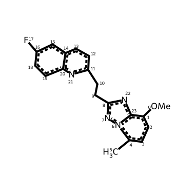 COc1ccc(C)n2nc(CCc3ccc4cc(F)ccc4n3)nc12